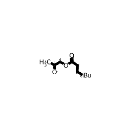 CCC(C)CCC(=O)OCC(C)[O]